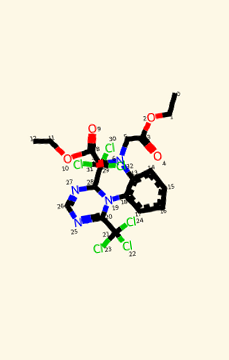 CCOC(=O)CN(CC(=O)OCC)c1ccccc1N1C(C(Cl)(Cl)Cl)=NC=NC1C(Cl)(Cl)Cl